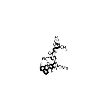 C#Cc1c(F)ccc2cccc(-c3ncc4c(N5CCN(C(=O)/C(F)=C/c6cc(C)nc(C)n6)[C@@H](CC#N)C5)nc(OC)nc4c3F)c12